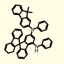 CC1(C)c2ccccc2-c2ccc(N(c3ccccc3)c3cc(Nc4ccccc4)c4c(c3)C3(C5=C(C=CCC5)c5ccccc53)c3ccccc3-4)cc21